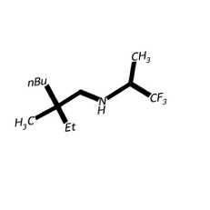 CCCCC(C)(CC)CNC(C)C(F)(F)F